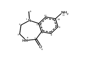 CN1CCNC(=O)c2ccc(N)cc21